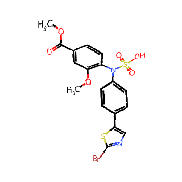 COC(=O)c1ccc(N(c2ccc(-c3cnc(Br)s3)cc2)S(=O)(=O)O)c(OC)c1